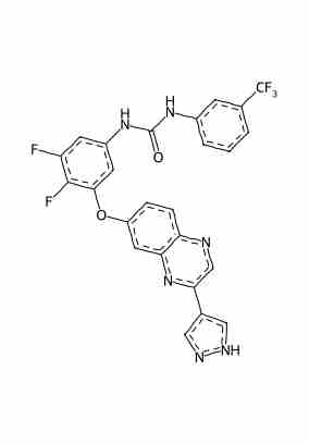 O=C(Nc1cccc(C(F)(F)F)c1)Nc1cc(F)c(F)c(Oc2ccc3ncc(-c4cn[nH]c4)nc3c2)c1